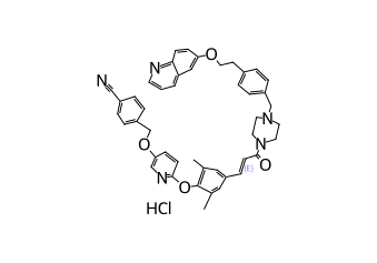 Cc1cc(/C=C/C(=O)N2CCN(Cc3ccc(CCOc4ccc5ncccc5c4)cc3)CC2)cc(C)c1Oc1ccc(OCc2ccc(C#N)cc2)cn1.Cl